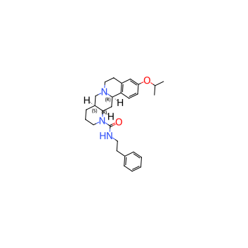 CC(C)Oc1ccc2c(c1)CCN1C[C@@H]3CCCN(C(=O)NCCc4ccccc4)[C@@H]3C[C@H]21